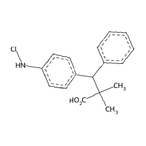 CC(C)(C(=O)O)C(c1ccccc1)c1ccc(NCl)cc1